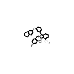 Fc1ccc(Cn2nc3c(C(F)(F)F)cccc3c2-c2cccc(Oc3ccc4c(c3)CCCC4)c2)c(Cl)c1